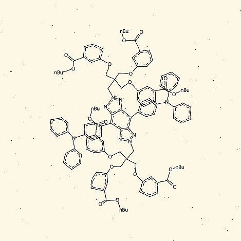 CCCCOC(=O)c1cccc(OCC(COc2cccc(C(=O)OCCCC)c2)(COc2cccc(C(=O)OCCCC)c2)Cn2nc3c(-c4ccc(N(c5ccccc5)c5ccccc5)cc4)c4n[n+](CC(COc5cccc(C(=O)OCCCC)c5)(COc5cccc(C(=O)OCCCC)c5)COc5cccc(C(=O)OCCCC)c5)[n-]c4c(-c4ccc(N(c5ccccc5)c5ccccc5)cc4)c3n2)c1